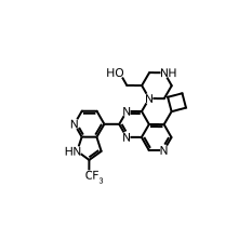 OCC1CNCCN1c1nc(-c2ccnc3[nH]c(C(F)(F)F)cc23)nc2cncc(C3CCC3)c12